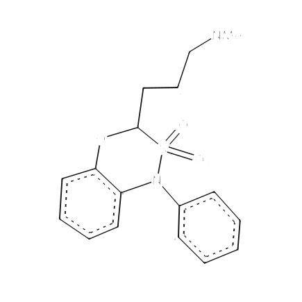 CNCCCC1Oc2ccccc2N(c2ccccc2)S1(=O)=O